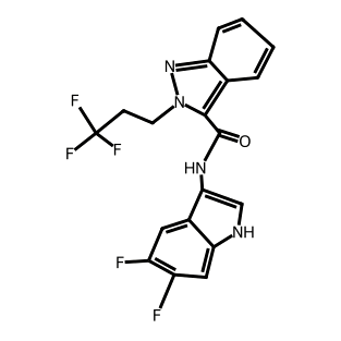 O=C(Nc1c[nH]c2cc(F)c(F)cc12)c1c2ccccc2nn1CCC(F)(F)F